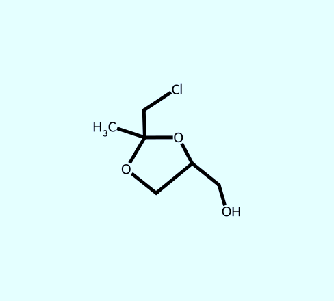 CC1(CCl)OCC(CO)O1